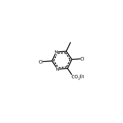 CCOC(=O)c1nc(Cl)nc(C)c1Cl